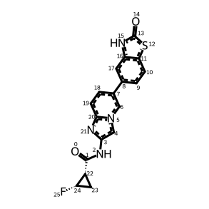 O=C(Nc1cn2cc(-c3ccc4sc(=O)[nH]c4c3)ccc2n1)[C@@H]1C[C@@H]1F